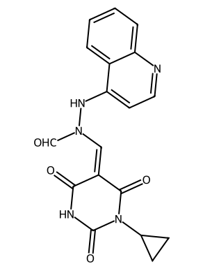 O=CN(C=C1C(=O)NC(=O)N(C2CC2)C1=O)Nc1ccnc2ccccc12